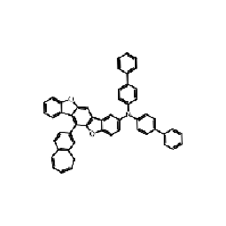 C1=CCc2cc(-c3c4oc5ccc(N(c6ccc(-c7ccccc7)cc6)c6ccc(-c7ccccc7)cc6)cc5c4cc4oc5ccccc5c34)ccc2C=C1